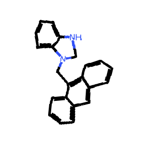 c1ccc2c(c1)NCN2Cc1c2ccccc2cc2ccccc12